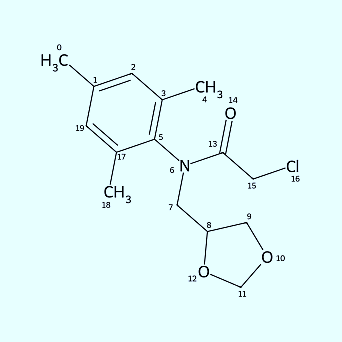 Cc1cc(C)c(N(CC2COCO2)C(=O)CCl)c(C)c1